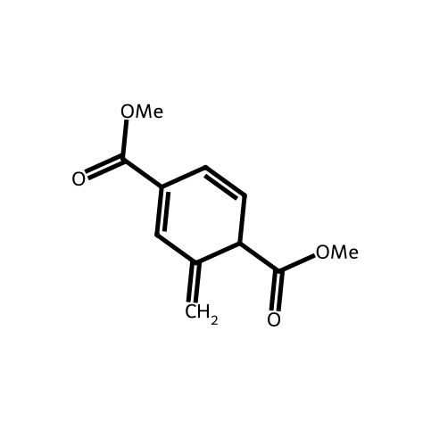 C=C1C=C(C(=O)OC)C=CC1C(=O)OC